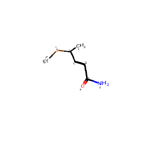 CCSC(C)CCC(N)=O